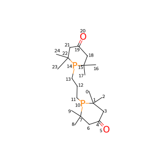 CC1(C)CC(=O)CC(C)(C)P1CCCP1C(C)(C)CC(=O)CC1(C)C